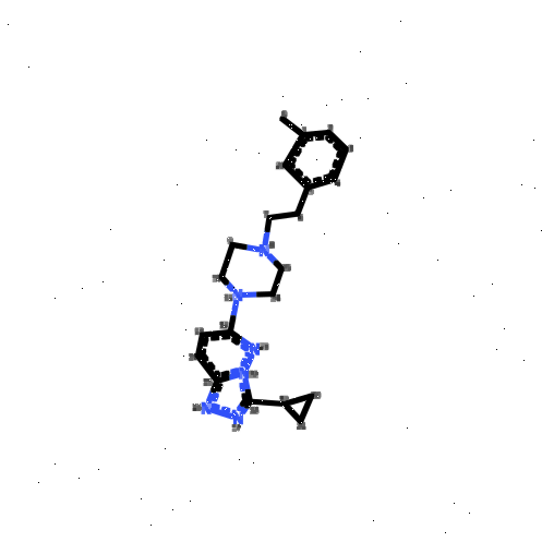 Cc1cccc(CCN2CCN(c3ccc4nnc(C5CC5)n4n3)CC2)c1